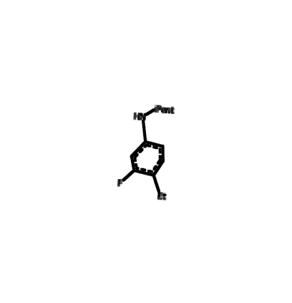 CCCC(C)Nc1ccc(CC)c(F)c1